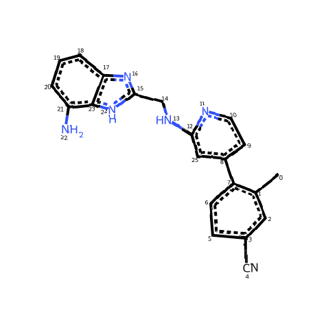 Cc1cc(C#N)ccc1-c1ccnc(NCc2nc3cccc(N)c3[nH]2)c1